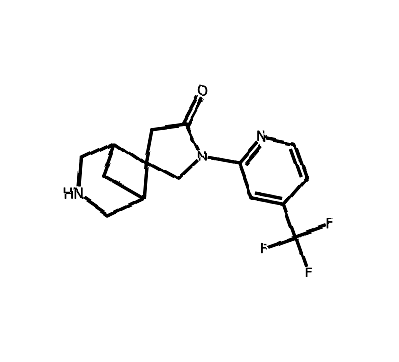 O=C1CC2(CN1c1cc(C(F)(F)F)ccn1)C1CNCC2C1